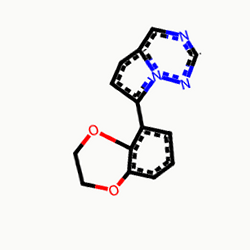 [c]1ncc2ccc(-c3cccc4c3OCCO4)n2n1